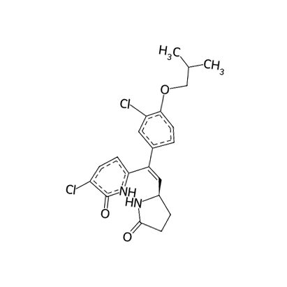 CC(C)COc1ccc(/C(=C/[C@H]2CCC(=O)N2)c2ccc(Cl)c(=O)[nH]2)cc1Cl